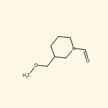 COCC1CCCN(C=O)C1